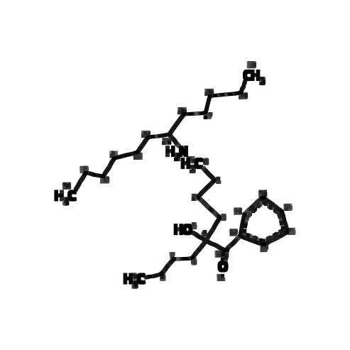 CCCCC(O)(CCCC)C(=O)c1ccccc1.CCCCCCC(N)CCCCC